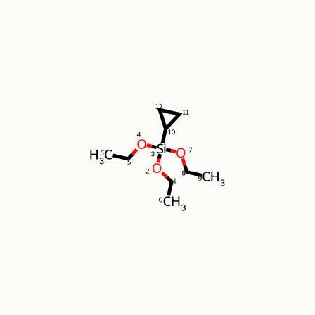 CCO[Si](OCC)(OCC)C1CC1